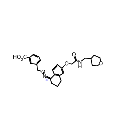 O=C(COc1ccc2c(c1)CCC/C2=N/OCc1cccc(C(=O)O)c1)NCC1CCOCC1